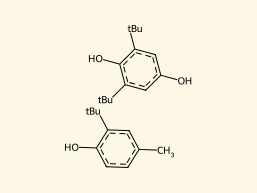 CC(C)(C)c1cc(O)cc(C(C)(C)C)c1O.Cc1ccc(O)c(C(C)(C)C)c1